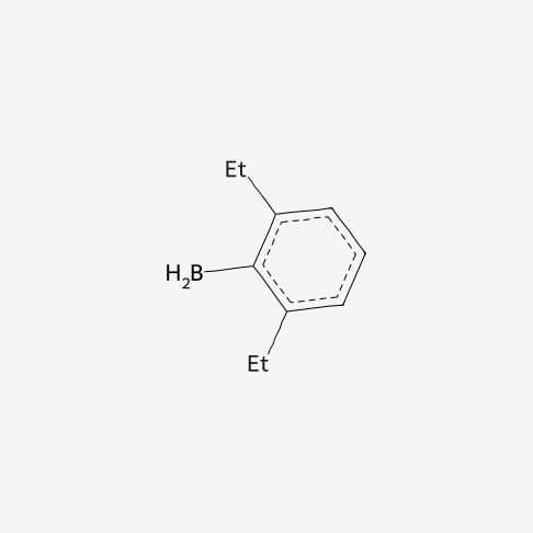 Bc1c(CC)cccc1CC